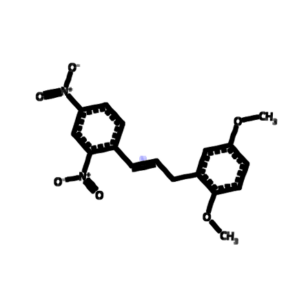 COc1ccc(OC)c(C/C=C/c2ccc([N+](=O)[O-])cc2[N+](=O)[O-])c1